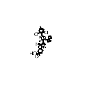 Cc1cc(Cl)c(C(=O)CN(C(=O)c2cnn(C3CCC(C)(C(=O)O)CC3)c2C(F)(F)F)[C@H]2CCC23CCC3)c(Cl)c1